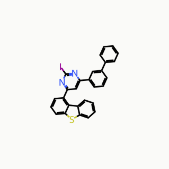 Ic1nc(-c2cccc(-c3ccccc3)c2)cc(-c2cccc3sc4ccccc4c23)n1